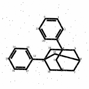 c1ccc(C23C[C]4CC(C2)CC(c2ccccc2)(C4)C3)cc1